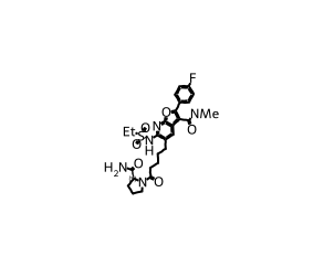 CCS(=O)(=O)Nc1nc2oc(-c3ccc(F)cc3)c(C(=O)NC)c2cc1CCCCC(=O)N1CCC[C@H]1C(N)=O